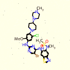 COc1cc(N2CCC(N3CCN(C)CC3)CC2)c(Cl)cc1Nc1ncc(Br)c(Nc2cc3scnc3cc2N(C)S(C)(=O)=O)n1